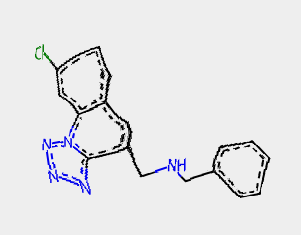 Clc1ccc2cc(CNCc3ccccc3)c3nnnn3c2c1